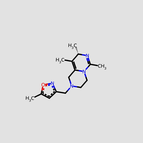 CC1=N[C@@H](C)C(C)=C2CN(Cc3cc(C)on3)CCN12